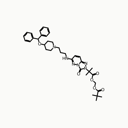 CC(C)(C)C(=O)OCOC(=O)C(C)(C)n1nc2ccc(NCCCN3CCC(OC(c4ccccc4)c4ccccc4)CC3)nn2c1=O